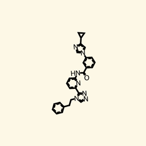 O=C(Nc1cccc(-c2nncn2CCc2ccccc2)n1)c1cccc(-n2cnc(C3CC3)c2)c1